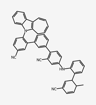 CC1C=CC(C#N)=CC1c1ccccc1Nc1ccc(-c2cccc(-c3cc(C#N)ccc3-n3c4c(c5ccccc53)C=CC=CC4)c2)c(C#N)c1